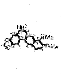 Br.COc1ccc2cc3[n+](cc2c1OC)CCc1cc2c(cc1-3)OCO2